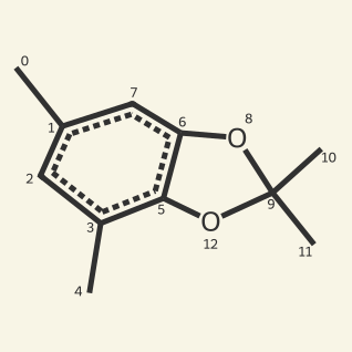 Cc1cc(C)c2c(c1)OC(C)(C)O2